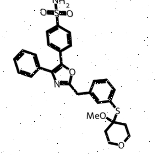 COC1(Sc2cccc(Cc3nc(-c4ccccc4)c(-c4ccc(S(N)(=O)=O)cc4)o3)c2)CCOCC1